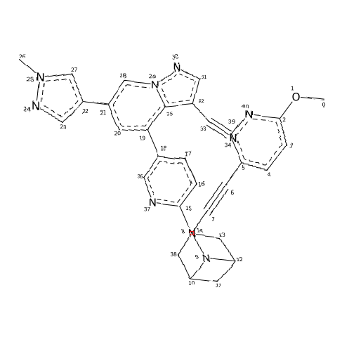 COc1ccc(C#CCN2C3CC2CN(c2ccc(-c4cc(-c5cnn(C)c5)cn5ncc(C#N)c45)cn2)C3)cn1